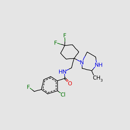 CC1CN(C2(CNC(=O)c3ccc(CF)cc3Cl)CCC(F)(F)CC2)CCN1